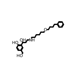 OCc1ccc(O)c(C(O)CCNCCCCCCOCCCCc2ccccc2)c1